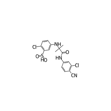 CC(C)(Nc1ccc(Cl)c([SH](=O)=O)c1)C(=O)Nc1ccc(C#N)c(Cl)c1